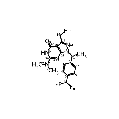 C[C@H](c1ccc(C(F)F)cc1)n1nc(CF)c2c(=O)[nH]c(N(C)C)nc21